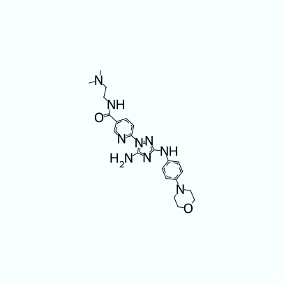 CN(C)CCNC(=O)c1ccc(-n2nc(Nc3ccc(N4CCOCC4)cc3)nc2N)nc1